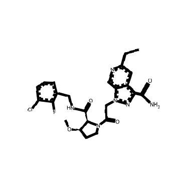 CCc1cc2c(C(N)=O)nn(CC(=O)N3CC[C@@H](OC)[C@H]3C(=O)NCc3cccc(Cl)c3F)c2cn1